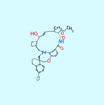 CCCC1[C@H](C)C/C=C/C(O)C2CCC2CN2C[C@@]3(CCCc4cc(Cl)ccc43)COc3ccc(cc32)C(=O)NS1(=O)=O